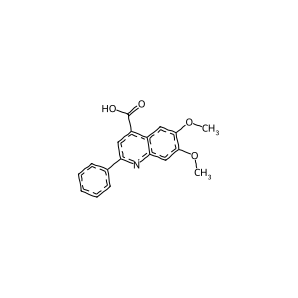 COc1cc2nc(-c3ccccc3)cc(C(=O)O)c2cc1OC